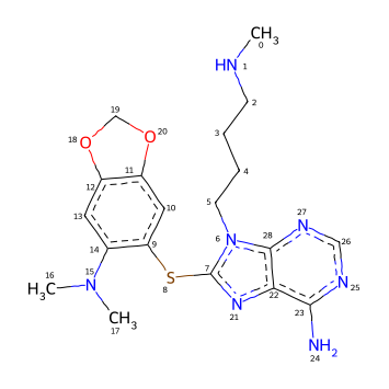 CNCCCCn1c(Sc2cc3c(cc2N(C)C)OCO3)nc2c(N)ncnc21